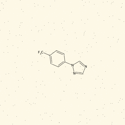 FC(F)(F)c1ccc(-n2cn[c]n2)cc1